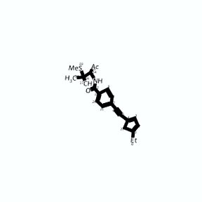 CCC1=CC=C(C#Cc2ccc(C(=O)NC(C(C)=O)C(C)(C)SC)cc2)C1